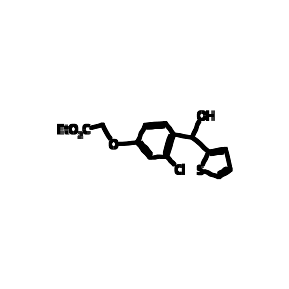 CCOC(=O)COc1ccc(C(O)c2cccs2)c(Cl)c1